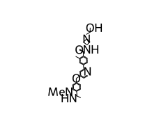 CNc1cc(Oc2ccnc(-c3ccc(C(=O)NC4CN(CCO)C4)c(C)c3)c2)ccc1C(C)=N